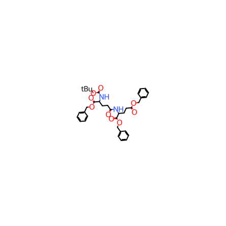 CC(C)(C)OC(=O)NC(CCC(=O)NC(CCC(=O)OCc1ccccc1)C(=O)OCc1ccccc1)C(=O)OCc1ccccc1